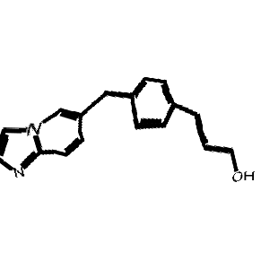 OCC=Cc1ccc(Cc2ccc3nccn3c2)cc1